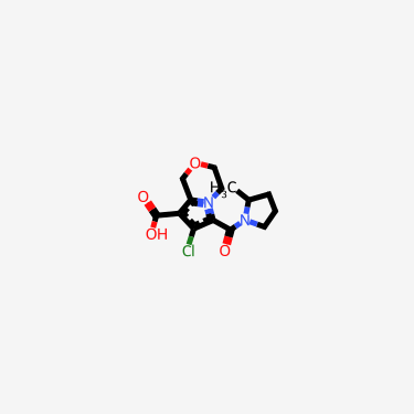 CC1CCCN1C(=O)c1c(Cl)c(C(=O)O)c2n1CCOC2